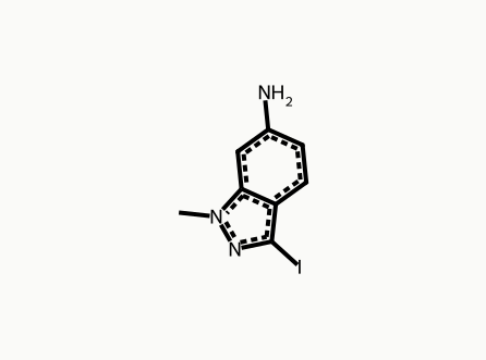 Cn1nc(I)c2ccc(N)cc21